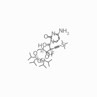 CC(C)[Si]1(C(C)C)OC[C@H]2O[C@@H](n3ccc(N)nc3=O)[C@@](F)(C#C[Si](C)(C)C)[C@@H]2O[Si](C(C)C)(C(C)C)O1